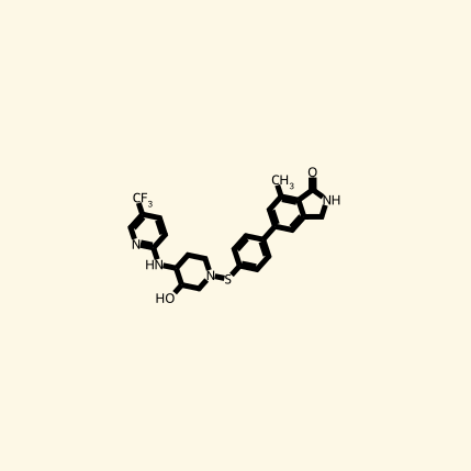 Cc1cc(-c2ccc(SN3CCC(Nc4ccc(C(F)(F)F)cn4)C(O)C3)cc2)cc2c1C(=O)NC2